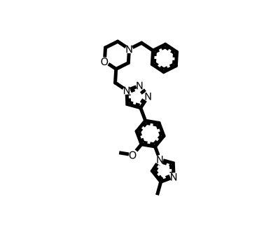 COc1cc(-c2cn(CC3CN(Cc4ccccc4)CCO3)nn2)ccc1-n1cnc(C)c1